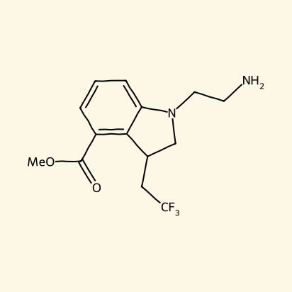 COC(=O)c1cccc2c1C(CC(F)(F)F)CN2CCN